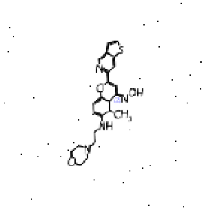 CC1C(NCCN2CCOCC2)=CC=C2OC(c3cc4sccc4cn3)=C/C(=N\O)C21